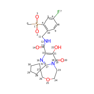 CS(=O)(=O)c1cc(F)ccc1CNC(=O)c1nc2n(c(=O)c1O)CCOCC21CCCC1